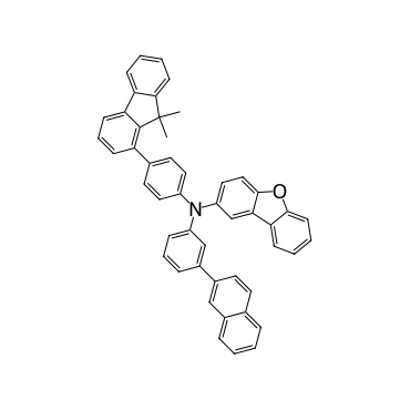 CC1(C)c2ccccc2-c2cccc(-c3ccc(N(c4cccc(-c5ccc6ccccc6c5)c4)c4ccc5oc6ccccc6c5c4)cc3)c21